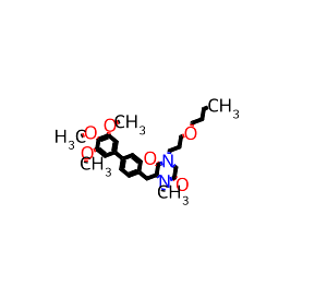 CCCCOCCCN1CC(=O)N(C)C(Cc2ccc(-c3cc(OC)c(OC)c(OC)c3)cc2)C1=O